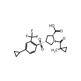 CC1(C(=O)N2C[C@H](S(=O)(=O)c3ccc(C4CC4)cc3C(F)(F)F)C[C@H]2C(=O)O)CC1